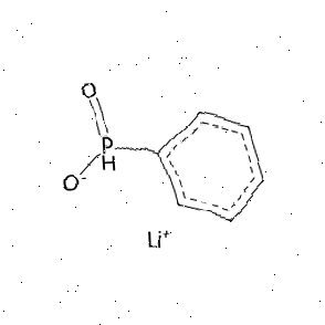 O=[PH]([O-])c1ccccc1.[Li+]